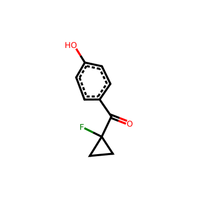 O=C(c1ccc(O)cc1)C1(F)CC1